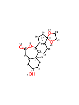 C[C@]12CC[C@H](O)CC1CC(=O)OC1C2CC[C@@]2(C)C1CCC21OCCO1